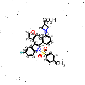 Cc1ccc(S(=O)(=O)n2c(-c3cccc(N4CC(C(=O)O)C4)c3)c(-c3ccoc3C#N)c3cc(F)ccc32)cc1